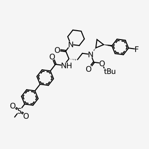 CC(C)(C)OC(=O)N(CC[C@H](NC(=O)c1ccc(-c2ccc(S(C)(=O)=O)cc2)cc1)C(=O)N1CCCCC1)[C@@H]1C[C@H]1c1ccc(F)cc1